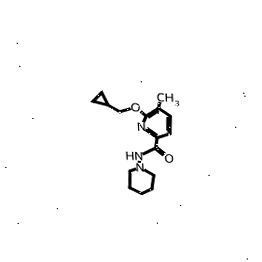 Cc1ccc(C(=O)NN2CCCCC2)nc1OCC1CC1